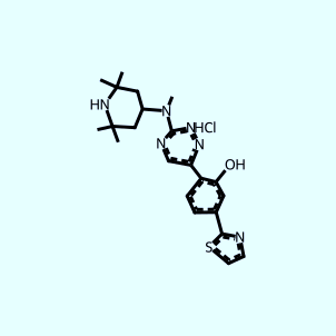 CN(c1ncc(-c2ccc(-c3nccs3)cc2O)nn1)C1CC(C)(C)NC(C)(C)C1.Cl